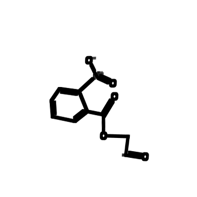 O=[C]COC(=O)c1ccccc1[N+](=O)[O-]